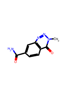 Cn1nnc2cc(C(N)=O)ccc2c1=O